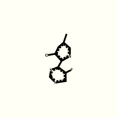 Cc1cnc(-c2ncncc2F)c(Cl)c1